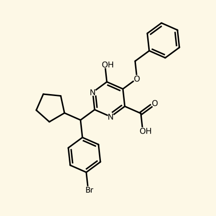 O=C(O)c1nc(C(c2ccc(Br)cc2)C2CCCC2)nc(O)c1OCc1ccccc1